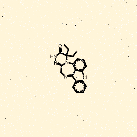 CCC1(CC)C(=O)NN=C2CN=C(c3ccccc3)c3c(Cl)cccc3N21